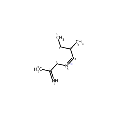 CCC(C)/C=N\CC(C)=N